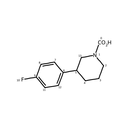 O=C(O)N1CCCC(c2ccc(F)cc2)C1